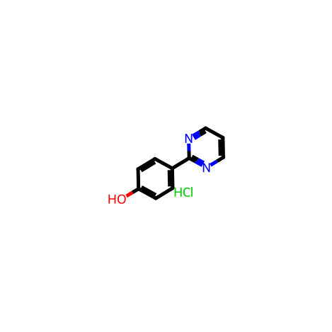 Cl.Oc1ccc(-c2ncccn2)cc1